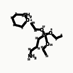 C1CC[SiH2]OC1.CCO[Si](CCCN)(OCC)OCC